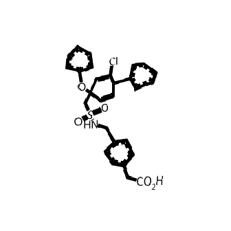 O=C(O)Cc1ccc(CNS(=O)(=O)CC2(Oc3ccccc3)C=CC(c3ccccc3)C(Cl)=C2)cc1